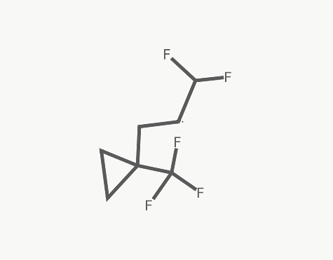 FC(F)[CH]CC1(C(F)(F)F)CC1